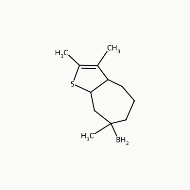 BC1(C)CCCC2C(C)=C(C)SC2C1